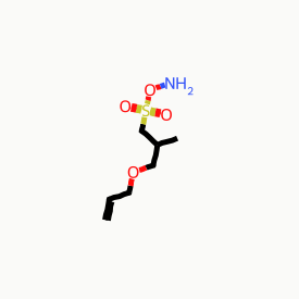 C=CCOCC(C)CS(=O)(=O)ON